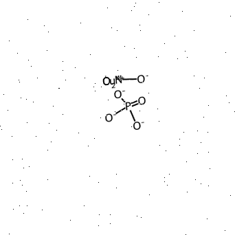 O=P([O-])([O-])[O-].O=[N+]([O-])[O-].[Cu+4]